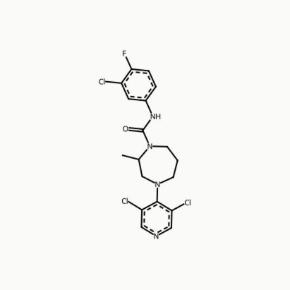 CC1CN(c2c(Cl)cncc2Cl)CCCN1C(=O)Nc1ccc(F)c(Cl)c1